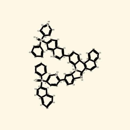 S=P(c1ccccc1)(c1ccc(-c2ccc3nc4c5ccc6ccccc6c5c5ccc(-c6cnc7cc(P(=S)(c8ccccc8)c8ccncc8)ccc7c6)cc5n4c3c2)nc1)c1ccc2ccccc2c1